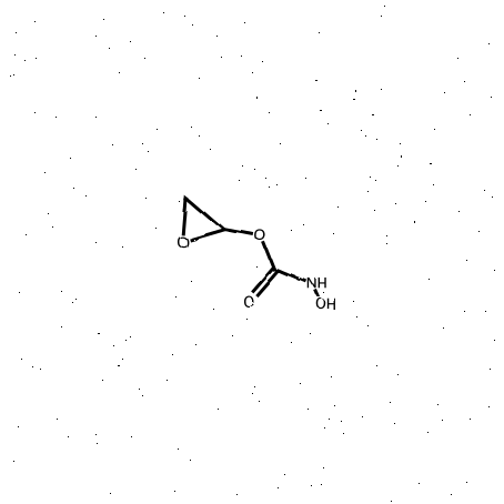 O=C(NO)OC1CO1